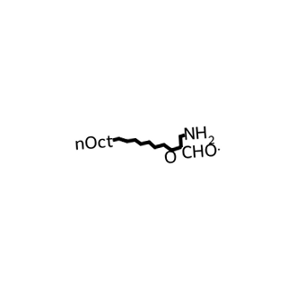 CCCCCCCCCCCCCCCC(=O)C([C]=O)CN